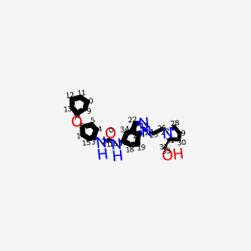 O=C(Nc1ccc(Oc2ccccc2)cc1)Nc1ccc2c(cnn2CCN2CCC[C@H]2CO)c1